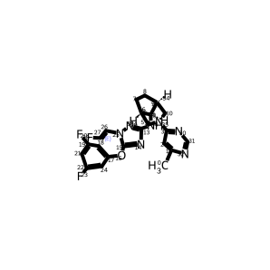 Cc1cc(N2C[C@H]3CC[C@@H](C2)[C@H]3Nc2nc(Oc3cc(F)cc(F)c3)n(/C=C/F)n2)ncn1